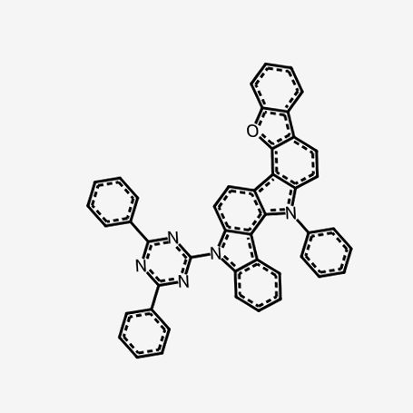 c1ccc(-c2nc(-c3ccccc3)nc(-n3c4ccccc4c4c3ccc3c5c6oc7ccccc7c6ccc5n(-c5ccccc5)c34)n2)cc1